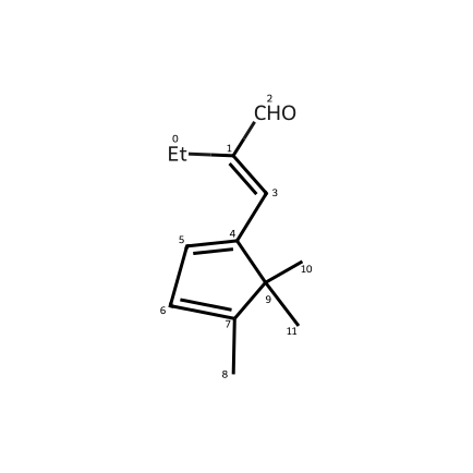 CC/C(C=O)=C\C1=CC=C(C)C1(C)C